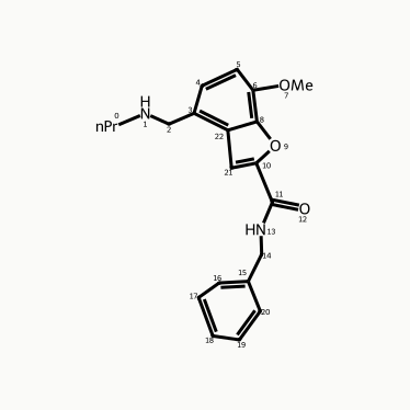 CCCNCc1ccc(OC)c2oc(C(=O)NCc3ccccc3)cc12